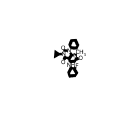 Cn1c(=O)cc(Nc2ccccc2F)c2c(=O)n(C3CC3)c(=O)n(-c3ccccc3)c21